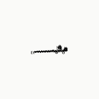 CCC=CCC=CCC=CCC=CCC=CCC=CCCC(=O)NCC(CNC(=O)c1cccnc1)N1CCOCC1